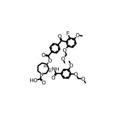 COCOc1ccc(C(=O)N[C@@H]2CN(C(=O)O)CCC[C@H]2OC(=O)c2ccc(C(=O)c3c(OCOC)ccc(OC)c3F)cc2)cc1OC